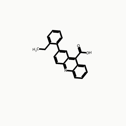 CCc1ccccc1-c1ccc2nc3ccccc3c(C(=O)O)c2c1